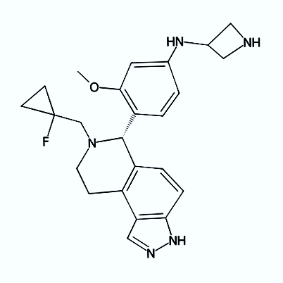 COc1cc(NC2CNC2)ccc1[C@@H]1c2ccc3[nH]ncc3c2CCN1CC1(F)CC1